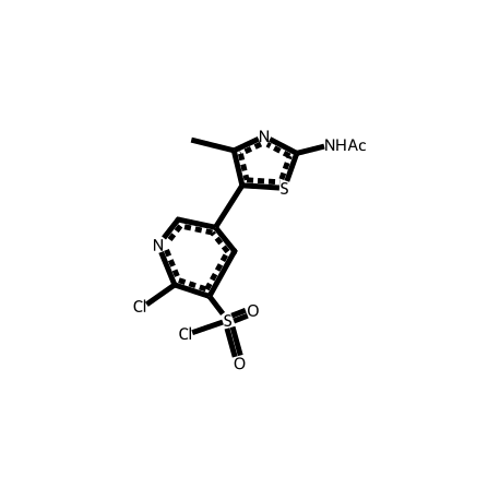 CC(=O)Nc1nc(C)c(-c2cnc(Cl)c(S(=O)(=O)Cl)c2)s1